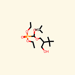 CCOP(=O)(OCC)C(OCC(CO)C(C)(C)C)O[SiH](C)C